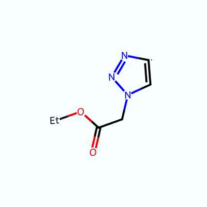 CCOC(=O)Cn1c[c]nn1